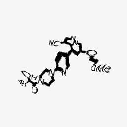 COCCOc1cc(-c2ccc(N3CCN(C(=O)[C@H](O)C(C)C)CC3)nc2)c2c(C#N)cnn2c1